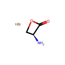 Br.N[C@H]1COC1=O